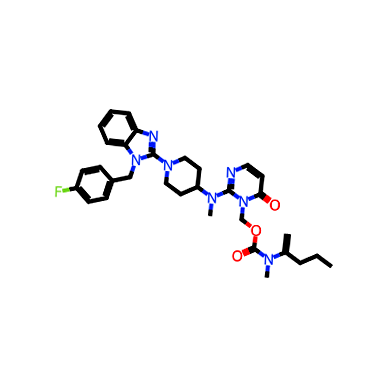 C=C(CCC)N(C)C(=O)OCn1c(N(C)C2CCN(c3nc4ccccc4n3Cc3ccc(F)cc3)CC2)nccc1=O